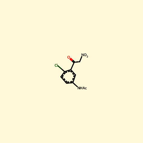 CC(=O)Nc1ccc(Cl)c(C(=O)C[N+](=O)[O-])c1